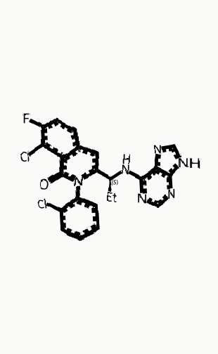 CC[C@H](Nc1ncnc2[nH]cnc12)c1cc2ccc(F)c(Cl)c2c(=O)n1-c1ccccc1Cl